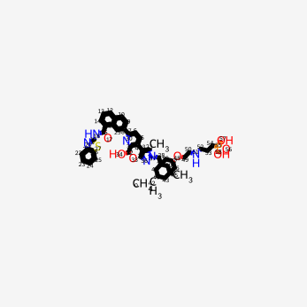 C.Cc1c(-c2ccc(-c3ccc4cccc(C(=O)Nc5nc6ccccc6s5)c4c3)nc2C(=O)O)cnn1CC12CC(C)CC(C)(CC(OCCNCCCP(=O)(O)O)C1)C2